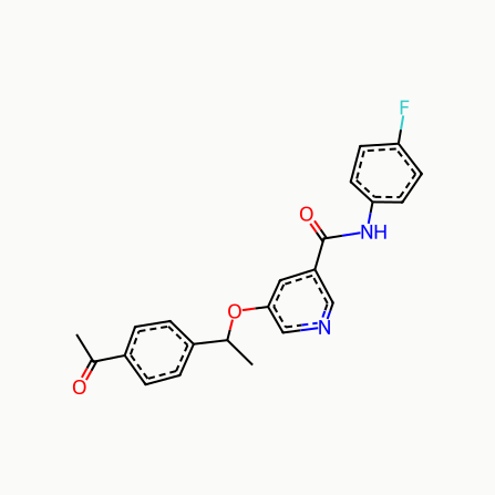 CC(=O)c1ccc(C(C)Oc2cncc(C(=O)Nc3ccc(F)cc3)c2)cc1